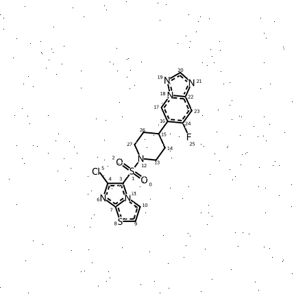 O=S(=O)(c1c(Cl)nc2sccn12)N1CCC(c2cn3ncnc3cc2F)CC1